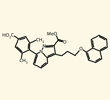 COC(=O)c1nn2c(-c3c(C)cc(C(=O)O)cc3C)cccc2c1CCCOc1cccc2ccccc12